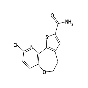 NC(=O)c1cc2c(s1)-c1nc(Cl)ccc1OCC2